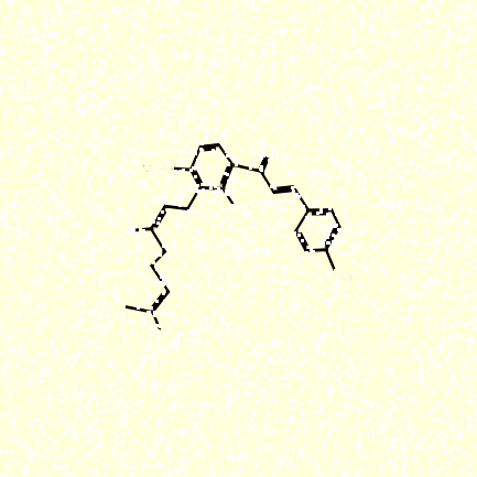 COc1ccc(C(=O)C=Cc2ccc(O)cc2)c(OC(C)=O)c1CC=C(C)CCC=C(C)C